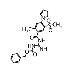 Cc1cc(-n2cccc2)c(S(C)(=O)=O)cc1C(=O)NC(=N)NC(=O)OCc1ccccc1